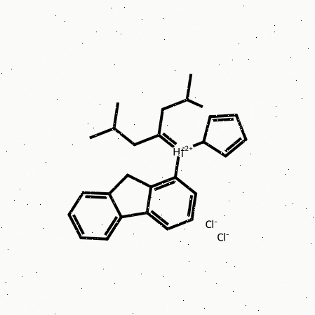 CC(C)C[C](CC(C)C)=[Hf+2]([c]1cccc2c1Cc1ccccc1-2)[CH]1C=CC=C1.[Cl-].[Cl-]